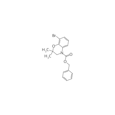 CC1(C)CN(C(=O)OCc2ccccc2)c2cccc(Br)c2O1